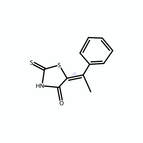 C/C(=C1/SC(=S)NC1=O)c1ccccc1